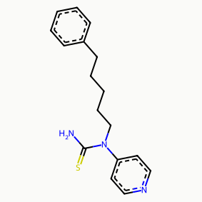 NC(=S)N(CCCCCc1ccccc1)c1ccncc1